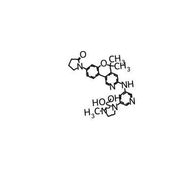 CN1CCN(c2cncc(Nc3cc4c(cn3)-c3ccc(N5CCCC5=O)cc3OC4(C)C)c2)S1(O)O